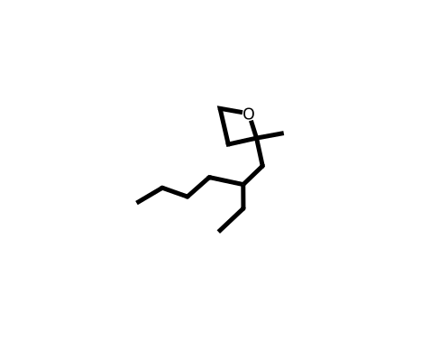 CCCCC(CC)CC1(C)CCO1